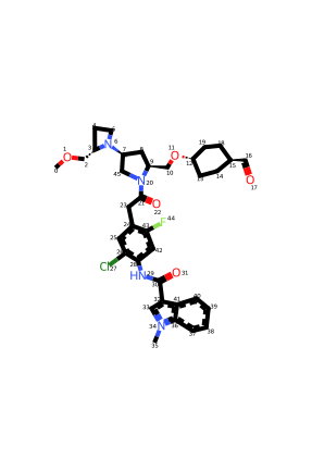 COC[C@@H]1CCN1[C@H]1C[C@@H](CO[C@H]2CC[C@H](C=O)CC2)N(C(=O)Cc2cc(Cl)c(NC(=O)c3cn(C)c4ccccc34)cc2F)C1